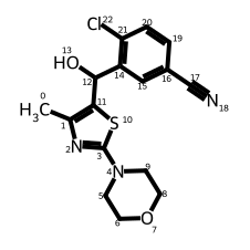 Cc1nc(N2CCOCC2)sc1C(O)c1cc(C#N)ccc1Cl